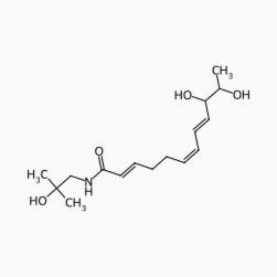 CC(O)C(O)/C=C/C=C\CC/C=C/C(=O)NCC(C)(C)O